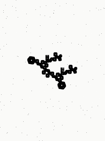 C=C(C)C(=O)OCCNC(=O)OC(COC(=O)CC(=O)OCC(COc1ccccc1)OC(=O)NCCOC(=O)C(=C)C)COc1ccccc1